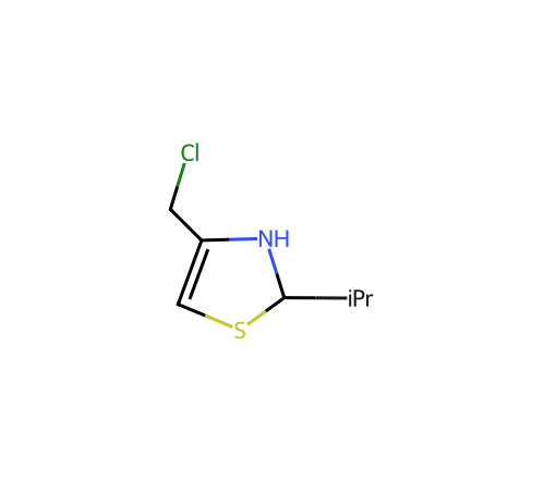 CC(C)C1NC(CCl)=CS1